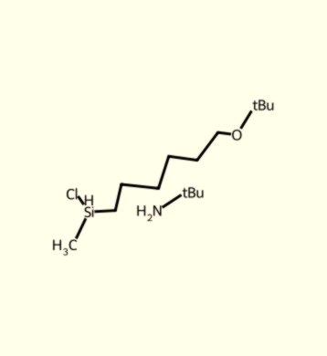 CC(C)(C)N.C[SiH](Cl)CCCCCCOC(C)(C)C